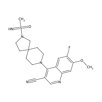 COc1cc2ncc(C#N)c(N3CCC4(CC3)CCN(S(C)(=N)=O)C4)c2cc1F